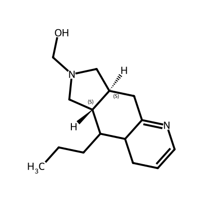 CCCC1C2CC=CN=C2C[C@@H]2CN(CO)C[C@@H]12